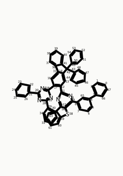 c1ccc(-c2cccc(-c3nc(-c4cc5c(cc4-c4nc(-c6ccccc6)nc(-c6ccccc6)n4)-c4ccccc4C5(c4ccccc4)c4ccccc4)nc4c3sc3ccccc34)c2)cc1